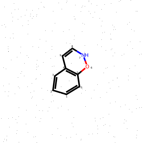 [c]1cccc2c1ONC=C2